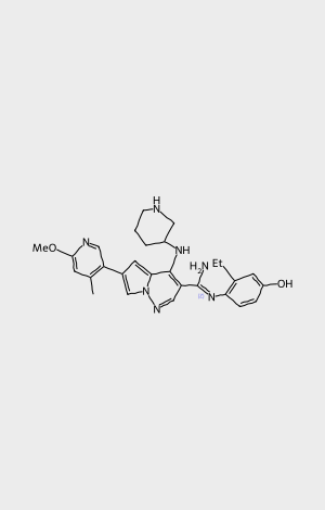 CCc1cc(O)ccc1/N=C(\N)c1cnn2cc(-c3cnc(OC)cc3C)cc2c1NC1CCCNC1